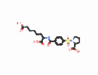 O=C(O)CCCCCC(NC(=O)c1ccc(S(=O)(=O)N2CCCC2C(=O)O)cc1)C(=O)O